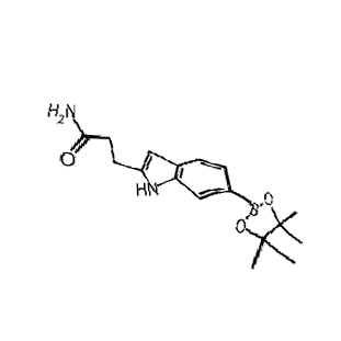 CC1(C)OB(c2ccc3cc(CCC(N)=O)[nH]c3c2)OC1(C)C